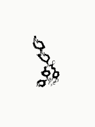 CN1CCC(N2CCC(N(Cc3ccc(Nc4ccncc4)cc3)C(=O)C=Cc3ccc(OC(F)(F)F)cc3)CC2)CC1